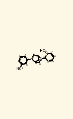 N#Cc1cccc(N2CC3CC2CN3C2N=CC=CN2O)c1